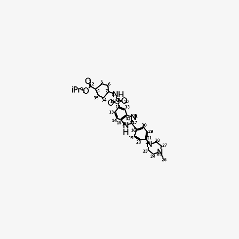 CC(C)OC(=O)C1CCC(NS(=O)(=O)c2ccc3[nH]c(-c4ccc(N5CCN(C)CC5)cc4)nc3c2)CC1